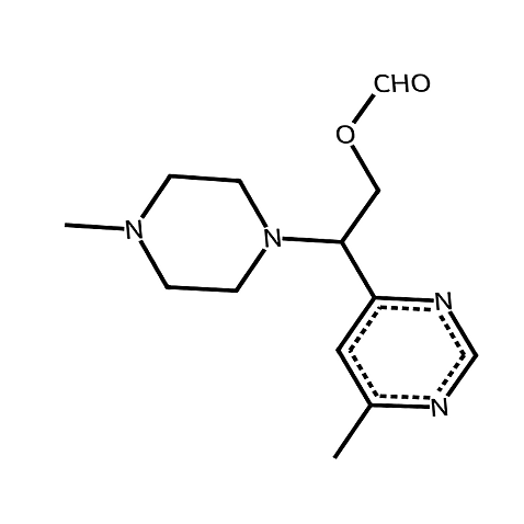 Cc1cc(C(COC=O)N2CCN(C)CC2)ncn1